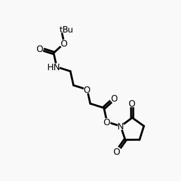 CC(C)(C)OC(=O)NCCOCC(=O)ON1C(=O)CCC1=O